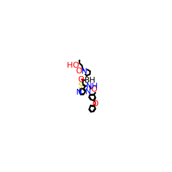 Cc1cc(Oc2ccccc2)ccc1N1C(=O)Nc2c(C(=O)BC3CCCN(C(=O)CC(C)O)C3)sc3nccc1c23